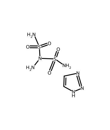 NN(S(N)(=O)=O)S(N)(=O)=O.c1c[nH]nn1